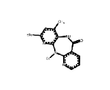 CCN1c2ncccc2C(=O)Nc2c(C)cc(C(C)(C)C)nc21